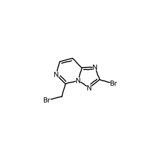 BrCc1nccc2nc(Br)nn12